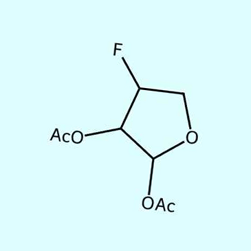 CC(=O)OC1OCC(F)C1OC(C)=O